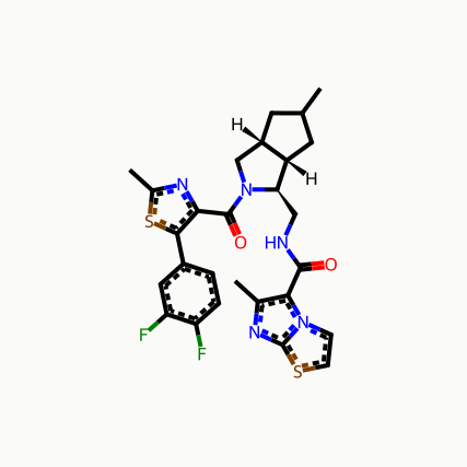 Cc1nc(C(=O)N2C[C@@H]3CC(C)C[C@@H]3[C@H]2CNC(=O)c2c(C)nc3sccn23)c(-c2ccc(F)c(F)c2)s1